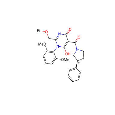 CCOCc1nc(=O)c(C(=O)N2CC[C@@H](c3ccccc3)C2)c(O)n1-c1c(OC)cccc1OC